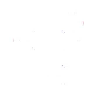 Cl.O=C(O)Nc1cc(NC(=O)O)cc(NC(=O)O)c1